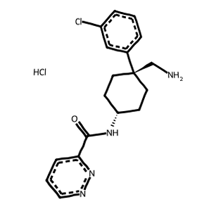 Cl.NC[C@]1(c2cccc(Cl)c2)CC[C@@H](NC(=O)c2cccnn2)CC1